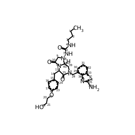 CCCCNC(=O)NN1CC(=O)N2C(Cc3ccc(OCCO)cc3)C(=O)N(Cc3cccc4sc(N)nc34)C[C@H]12